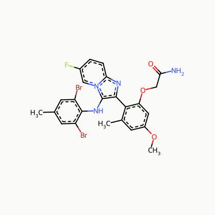 COc1cc(C)c(-c2nc3ccc(F)cn3c2Nc2c(Br)cc(C)cc2Br)c(OCC(N)=O)c1